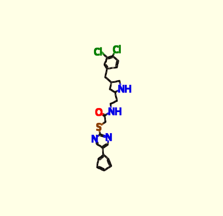 O=C(CSc1ncc(-c2ccccc2)cn1)NCCC1CC(Cc2ccc(Cl)c(Cl)c2)CN1